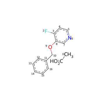 CC(=O)O.Fc1ccncc1OCc1ccccc1